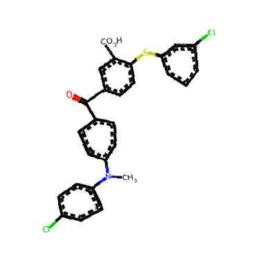 CN(c1ccc(Cl)cc1)c1ccc(C(=O)c2ccc(Sc3cccc(Cl)c3)c(C(=O)O)c2)cc1